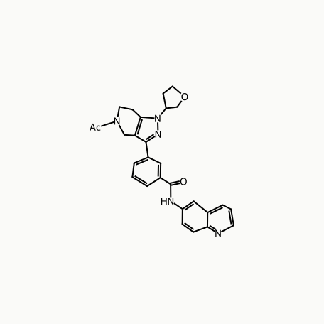 CC(=O)N1CCc2c(c(-c3cccc(C(=O)Nc4ccc5ncccc5c4)c3)nn2C2CCOC2)C1